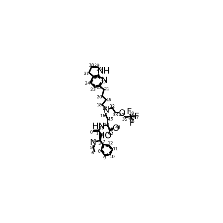 C=C(/C=C(\N=C/C)c1ccccc1)N[C@@H](CCN(CCCCc1ccc2c(n1)NCCC2)CCOCC(F)(F)F)C(=O)O